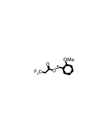 COc1ccccc1SOC(=O)CC(F)(F)F